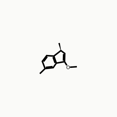 COC1=C[C@H](C)c2ccc(C)cc21